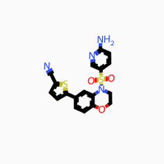 N#Cc1ccc(-c2ccc3c(c2)N(S(=O)(=O)c2ccc(N)nc2)CCO3)s1